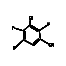 N#Cc1cc(F)c(F)c(Cl)c1F